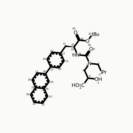 CC(C)CN(CC(O)C(=O)O)C(=O)N[C@@H](Cc1ccc(-c2ccc3ccccc3c2)cc1)C(=O)OC(C)(C)C